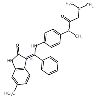 CN(C)CC(=O)N(C)c1ccc(N/C(=C2\C(=O)Nc3cc(C(=O)O)ccc32)c2ccccc2)cc1